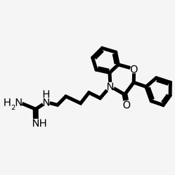 N=C(N)NCCCCCN1C(=O)C(c2ccccc2)Oc2ccccc21